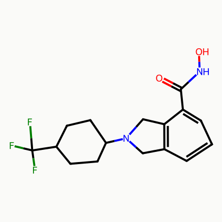 O=C(NO)c1cccc2c1CN(C1CCC(C(F)(F)F)CC1)C2